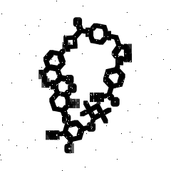 CC1(C)[C@H](NC(=O)c2ccc(-n3cc(CN4CCN(C(=O)C5CN(c6ccc7nnn(C8CCC(=O)NC8=O)c(=O)c7c6)C5)CC4)nn3)cc2)C(C)(C)[C@H]1Oc1ccc(C#N)c(Cl)c1